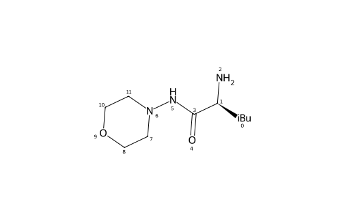 CCC(C)[C@H](N)C(=O)NN1CCOCC1